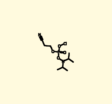 CC(C)N(OP(=O)(OCl)OCCC#N)C(C)C